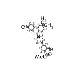 COC(=O)c1ccc(N2CCN(CC3CCC(C)(C)CC3c3ccc(Cl)cc3)CC2)cc1Br